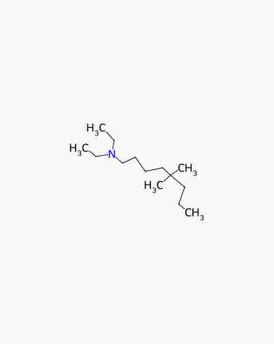 CCCC(C)(C)CCCCN(CC)CC